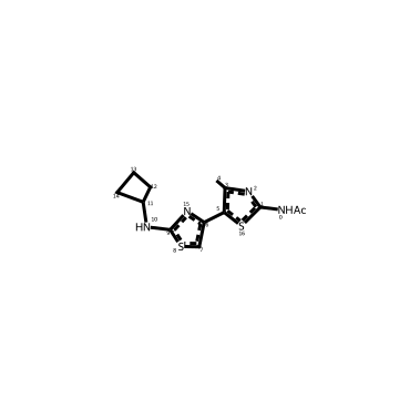 CC(=O)Nc1nc(C)c(-c2csc(NC3CCC3)n2)s1